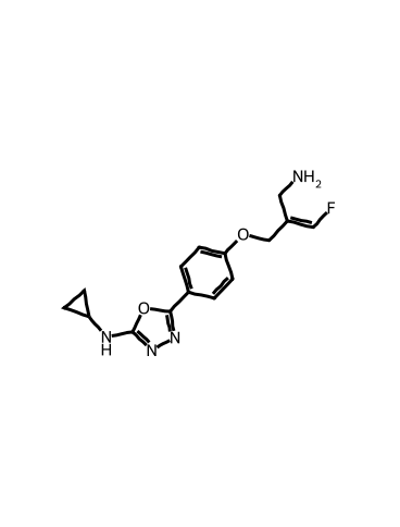 NC/C(=C\F)COc1ccc(-c2nnc(NC3CC3)o2)cc1